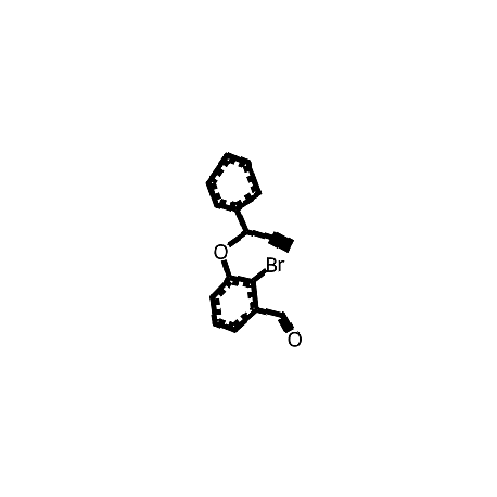 C#CC(Oc1cccc(C=O)c1Br)c1ccccc1